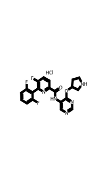 Cl.O=C(Nc1cncnc1OC1CCNC1)c1ccc(F)c(-c2c(F)cccc2F)n1